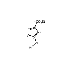 CCOC(=O)c1csc(CC(C)C)n1